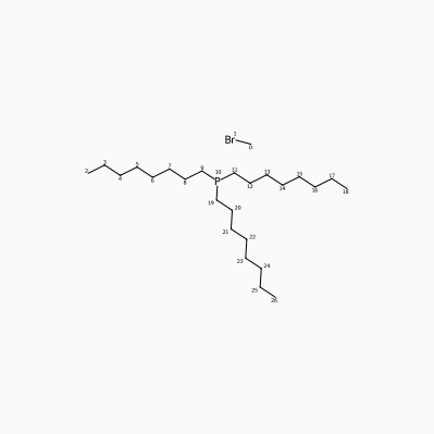 CBr.CCCCCCCCP(CCCCCCCC)CCCCCCCC